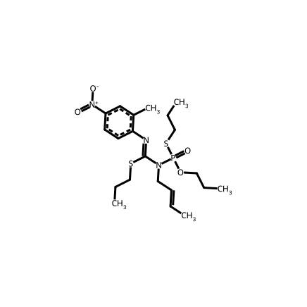 CC=CCN(C(=Nc1ccc([N+](=O)[O-])cc1C)SCCC)P(=O)(OCCC)SCCC